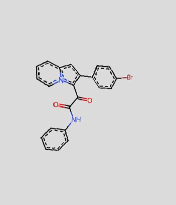 O=C(Nc1ccccc1)C(=O)c1c(-c2ccc(Br)cc2)cc2ccccn12